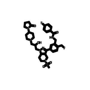 CS(=O)(=O)N1CCc2c(c(-c3ccc(CF)c(CNC(=O)c4ccc(F)cc4)c3)nn2CC(O)CN2CCC(N3CCCC3=O)CC2)C1